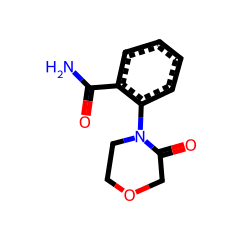 NC(=O)c1ccccc1N1CCOCC1=O